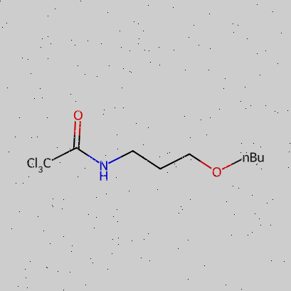 CCCCOCCCNC(=O)C(Cl)(Cl)Cl